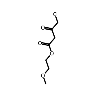 COCCOC(=O)CC(=O)CCl